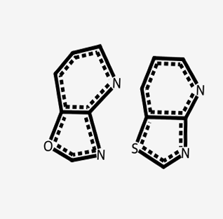 c1cnc2ncoc2c1.c1cnc2ncsc2c1